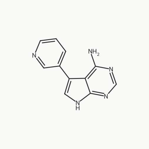 Nc1ncnc2[nH]cc(-c3cccnc3)c12